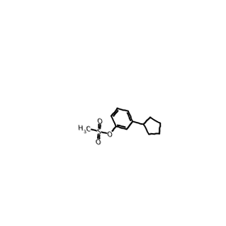 CS(=O)(=O)Oc1cccc(C2CCCC2)c1